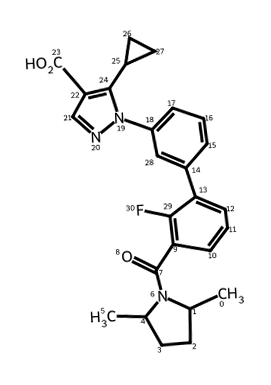 CC1CCC(C)N1C(=O)c1cccc(-c2cccc(-n3ncc(C(=O)O)c3C3CC3)c2)c1F